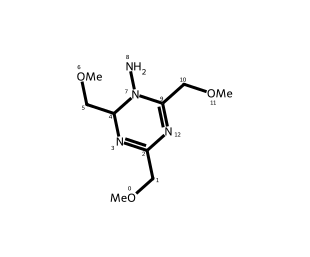 COCC1=NC(COC)N(N)C(COC)=N1